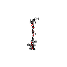 CCc1c(-c2ccc(OCCCN3CCN(C(=O)CCOCCOCCOc4cc(C(C)(C)C)c(NC(=O)c5c[nH]c6ccccc6c5=O)cc4O)CC3)cc2)cnc(N)c1-c1ccc(O)cc1